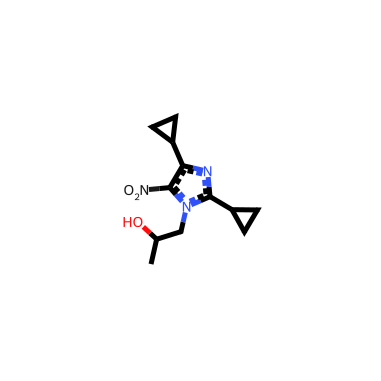 CC(O)Cn1c(C2CC2)nc(C2CC2)c1[N+](=O)[O-]